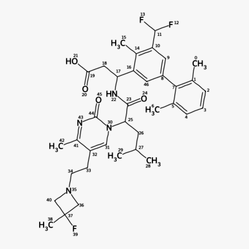 Cc1cccc(C)c1-c1cc(C(F)F)c(C)c(C(CC(=O)O)NC(=O)C(CC(C)C)n2cc(CCN3CC(C)(F)C3)c(C)nc2=O)c1